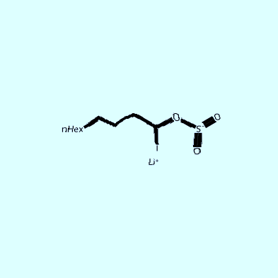 CCCCCCCCCC(I)O[S-](=O)=O.[Li+]